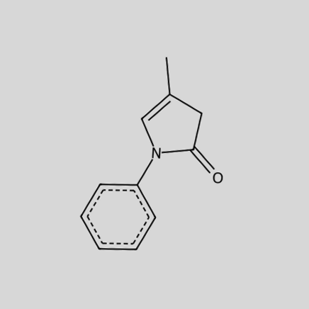 CC1=CN(c2ccccc2)C(=O)C1